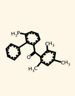 Cc1cc(C)c(C(=O)c2cccc(P)c2-c2ccccc2)c(C)c1